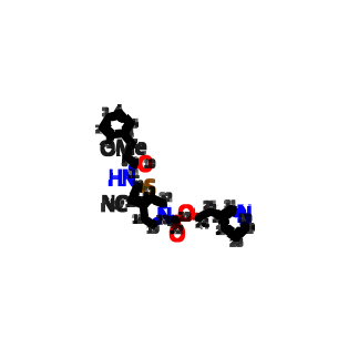 COc1ccccc1CCC(=O)Nc1sc2c(c1C#N)CCN(C(=O)OCCc1cccnc1)C2